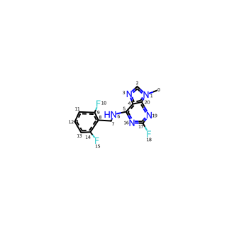 Cn1cnc2c(NCc3c(F)cccc3F)nc(F)nc21